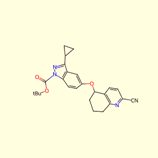 CC(C)(C)OC(=O)n1nc(C2CC2)c2cc(OC3CCCc4nc(C#N)ccc43)ccc21